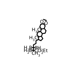 BC(B)(CCCC1CCC2C3CCC4CC5(CCC4(C)C3CCC12C)OCCO5)C(B)(C)C(=O)OCC